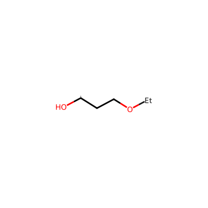 CCOCC[CH]O